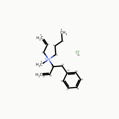 C=CC[N+](C)(CCCC)C(C=C)Cc1ccccc1.[Cl-]